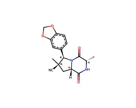 C[C@@H]1NC(=O)[C@@H]2C[C@@](C)(C#N)[C@@H](c3ccc4c(c3)OCO4)N2C1=O